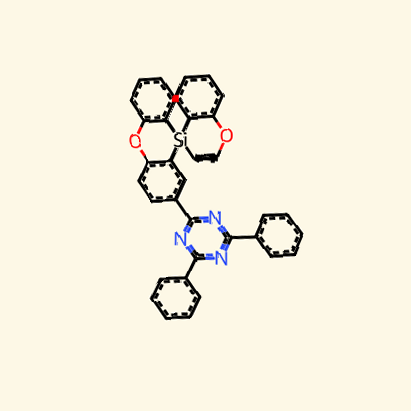 c1ccc(-c2nc(-c3ccccc3)nc(-c3ccc4c(c3)[Si]3(c5ccccc5Oc5ccccc53)c3ccccc3O4)n2)cc1